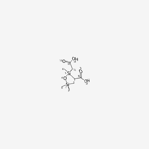 C[Si](C)(C)O[Si](C)(CC(=O)O)CC(=O)O